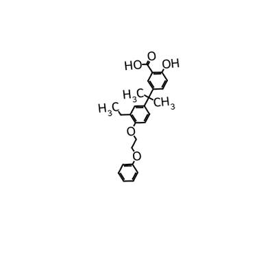 CCc1cc(C(C)(C)c2ccc(O)c(C(=O)O)c2)ccc1OCCOc1ccccc1